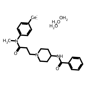 CN(C(=O)CCN1CCC(NC(=O)c2ccccc2)CC1)c1cc[c]([Ge])cc1.O.O.O